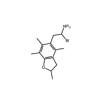 Cc1c(C)c2c(c(C)c1CC(N)Br)CC(C)O2